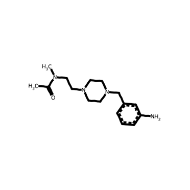 CC(=O)N(C)CCN1CCN(Cc2cccc(N)c2)CC1